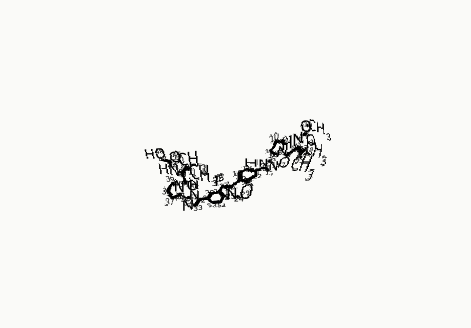 COC(=O)N[C@H](C(=O)N1CCC[C@H]1c1ncc(-c2ccc3c(c2)OCn2c-3c(F)c3cc(-c4cnc([C@@H]5CCCN5C(=O)[C@@H](NC(=O)CO)C(C)C)[nH]4)ccc32)[nH]1)C(C)C